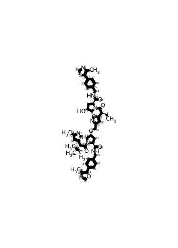 CC[C@@H](C(=O)N1C[C@H](O)C[C@H]1C(=O)NCc1ccc(-c2scnc2C)cc1)c1cc(CO[C@@H]2C[C@@H](C(=O)NCc3ccc(-c4ocnc4C)cc3)N(C(=O)[C@@H](c3cc(C)no3)C(C)(C)C)C2)no1